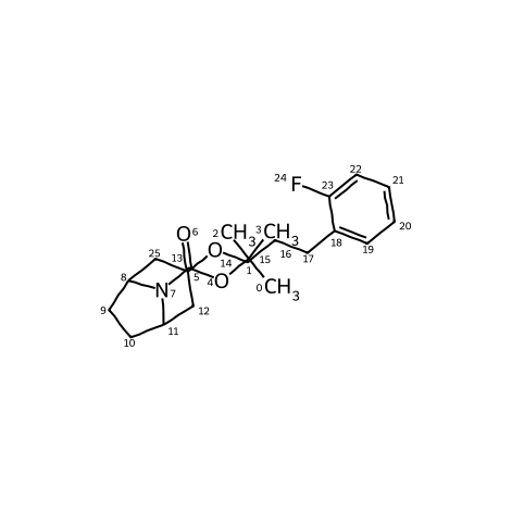 CC(C)(C)OC(=O)N1C2CCC1CC(OCCCc1ccccc1F)C2